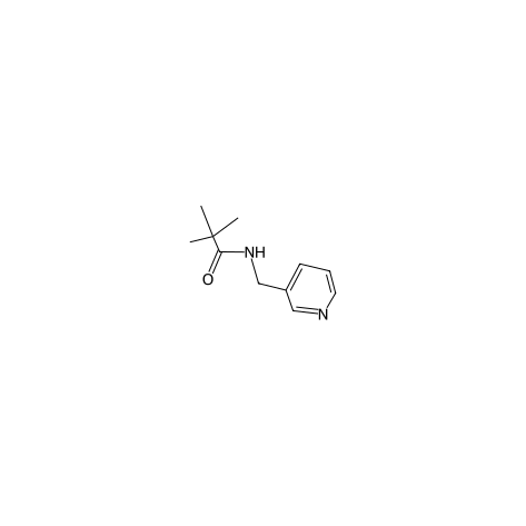 CC(C)(C)C(=O)NCc1cccnc1